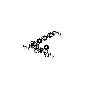 C=CC(=O)N1CCN(c2nc(Nc3ccc(N4CCC(N5CCN(C)CC5)CC4)cc3)c(C(N)=O)nc2CC)C[C@H]1c1ccccc1